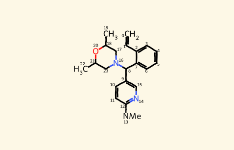 C=Cc1ccccc1C(c1ccc(NC)nc1)N1CC(C)OC(C)C1